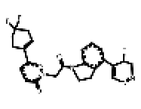 O=C(Cn1nc(C2=CCC(F)(F)CC2)ccc1=O)N1CCc2c(C3=CN=NCC3F)cccc21